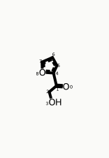 O=C(CO)c1ccco1